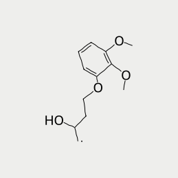 [CH2]C(O)CCOc1cccc(OC)c1OC